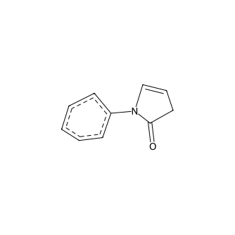 O=C1CC=CN1c1ccccc1